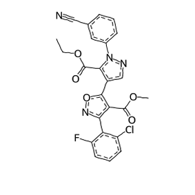 CCOC(=O)c1c(-c2onc(-c3c(F)cccc3Cl)c2C(=O)OC)cnn1-c1cccc(C#N)c1